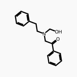 O=C(CN(CO)CCc1ccccc1)c1ccccc1